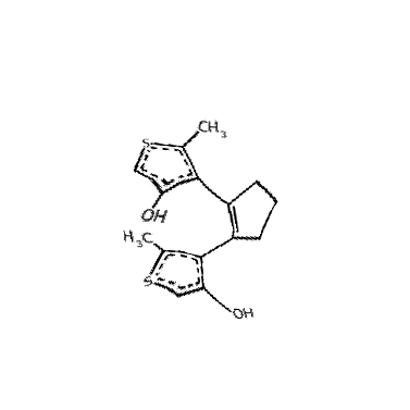 Cc1scc(O)c1C1=C(c2c(O)csc2C)CCC1